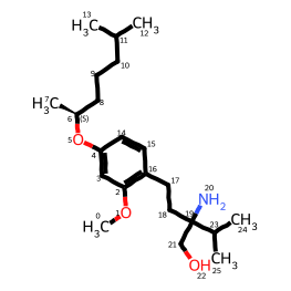 COc1cc(O[C@@H](C)CCCC(C)C)ccc1CCC(N)(CO)C(C)C